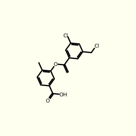 C=C(Oc1cc(C(=O)O)ccc1C)c1cc(Cl)cc(CCl)c1